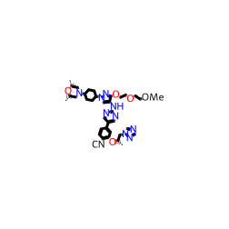 COCCOCCOc1nn(C2CCC(N3C[C@@H](C)O[C@@H](C)C3)CC2)cc1Nc1ncc(-c2ccc(C#N)c(O[C@@H](C)Cn3cncn3)c2)cn1